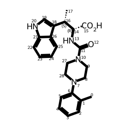 Cc1ccccc1N1CCN(C(=O)N[C@@H](C(=O)O)[C@@H](C)c2c[nH]c3ccccc23)CC1